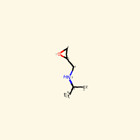 CCC(CC)NCC1CO1